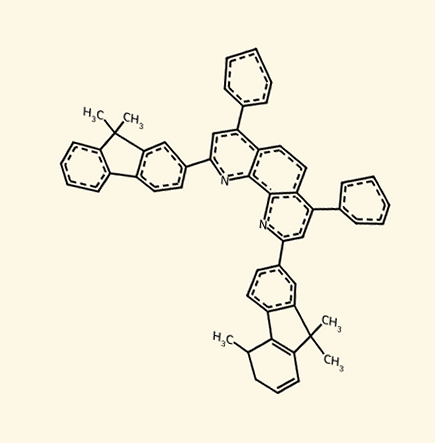 CC1CC=CC2=C1c1ccc(-c3cc(-c4ccccc4)c4ccc5c(-c6ccccc6)cc(-c6ccc7c(c6)C(C)(C)c6ccccc6-7)nc5c4n3)cc1C2(C)C